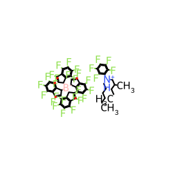 CCCCCC[NH+](CC(C)CCC)c1c(F)c(F)c(F)c(F)c1F.FC1=C(F)C([B-](C2C(F)=C(F)c3c(F)c(F)c(F)c(F)c32)(C2C(F)=C(F)c3c(F)c(F)c(F)c(F)c32)C2C(F)=C(F)c3c(F)c(F)c(F)c(F)c32)c2c(F)c(F)c(F)c(F)c21